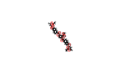 C=CC(=O)OC(CCC)Oc1ccc2cc(C(=O)Oc3ccc(OC(=O)c4ccc5cc(OC(CCC)OC(=O)C=C)ccc5c4)c(C(=O)OC)c3)ccc2c1